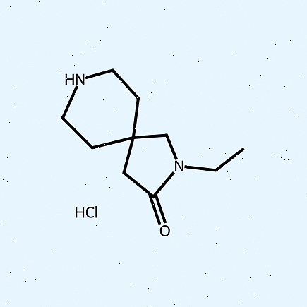 CCN1CC2(CCNCC2)CC1=O.Cl